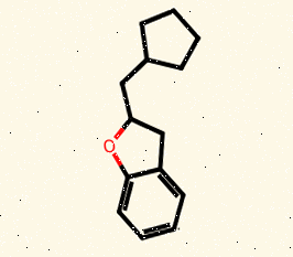 [c]1ccc2c(c1)CC(CC1CCCC1)O2